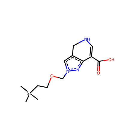 C[Si](C)(C)CCOCn1cc2c(n1)C(C(=O)O)=CNC2